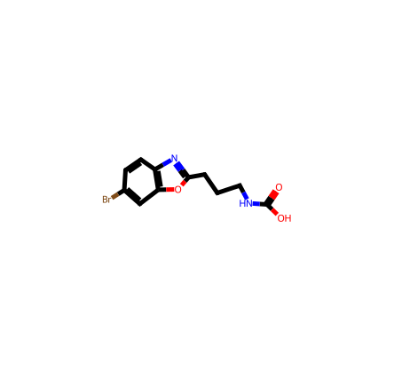 O=C(O)NCCCc1nc2ccc(Br)cc2o1